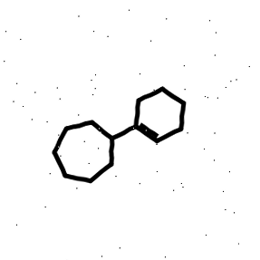 [C]1=C(C2CCCCCC2)CCCC1